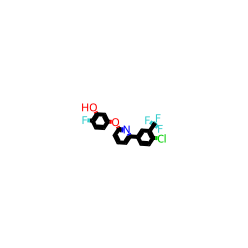 Oc1cc(Oc2cccc(-c3ccc(Cl)c(C(F)(F)F)c3)n2)ccc1F